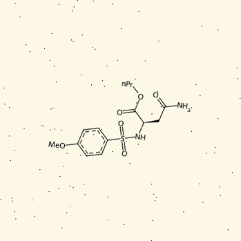 CCCOC(=O)[C@@H](CC(N)=O)NS(=O)(=O)c1ccc(OC)cc1